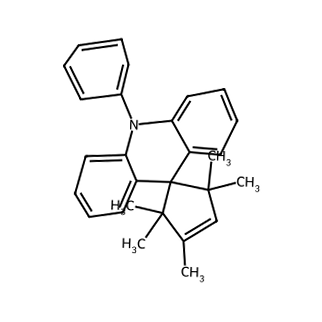 CC1=CC(C)(C)C2(c3ccccc3N(c3ccccc3)c3ccccc32)C1(C)C